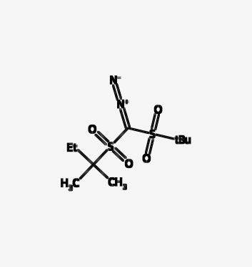 CCC(C)(C)S(=O)(=O)C(=[N+]=[N-])S(=O)(=O)C(C)(C)C